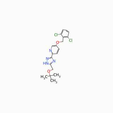 CC(C)(C)OCc1nc(-c2ccc(OCc3c(Cl)cccc3Cl)cn2)n[nH]1